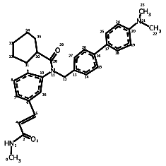 CNC(=O)/C=C/c1cccc(N(Cc2ccc(-c3ccc(N(C)C)cc3)cc2)C(=O)C2CCCCC2)c1